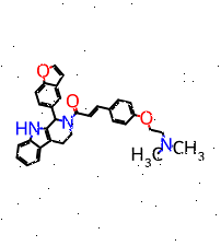 CN(C)CCOc1ccc(/C=C/C(=O)N2CCc3c([nH]c4ccccc34)C2c2ccc3occc3c2)cc1